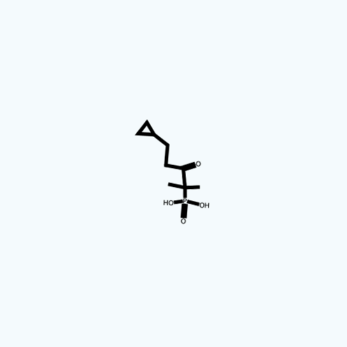 CC(C)(C(=O)CCC1CC1)P(=O)(O)O